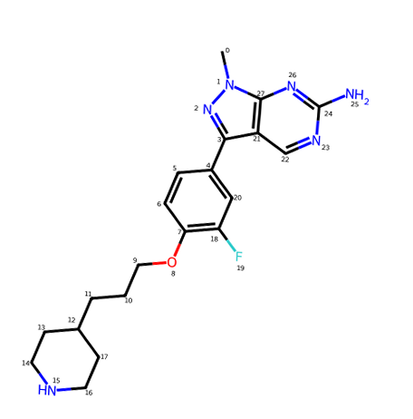 Cn1nc(-c2ccc(OCCCC3CCNCC3)c(F)c2)c2cnc(N)nc21